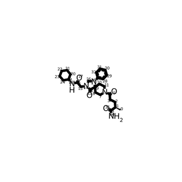 C[C@H](C[CH]C(=O)N1CCC2(CC1)C(=O)N(CC(=O)NC1CCCCC1)CN2c1ccccc1)C(N)=O